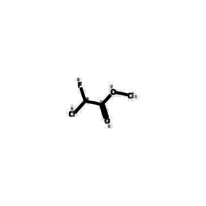 O=C(OCl)C(F)Cl